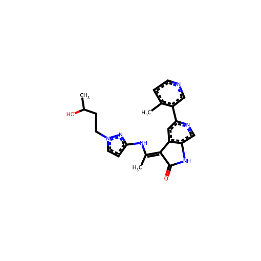 CC(Nc1ccn(CCC(C)O)n1)=C1C(=O)Nc2cnc(-c3cnccc3C)cc21